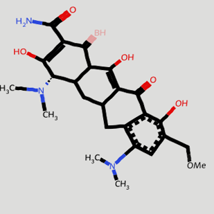 B=C1C(C(N)=O)=C(O)[C@@H](N(C)C)C2CC3Cc4c(N(C)C)cc(COC)c(O)c4C(=O)C3=C(O)C12